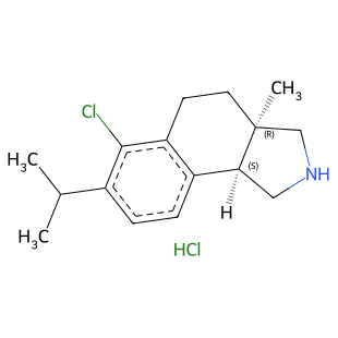 CC(C)c1ccc2c(c1Cl)CC[C@@]1(C)CNC[C@@H]21.Cl